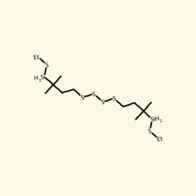 CCS[SiH2]C(C)(C)CCSSSSCCC(C)(C)[SiH2]SCC